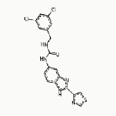 O=C(NCc1cc(Cl)cc(Cl)c1)Nc1ccc2[nH]c(-c3cscn3)nc2c1